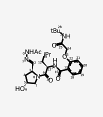 CC(=O)N/N=C/[C@@H]1C[C@@H](O)CN1C(=O)[C@@H](CC(C)C)NC(=O)c1ccccc1OCC(=O)NC(C)(C)C